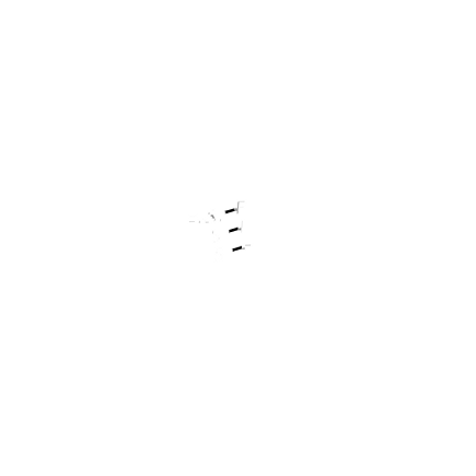 F[S-].F[S-].F[S-].[Fe+3]